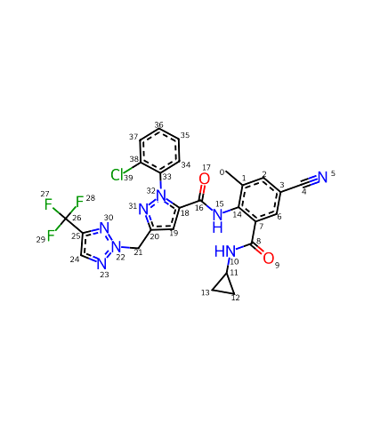 Cc1cc(C#N)cc(C(=O)NC2CC2)c1NC(=O)c1cc(Cn2ncc(C(F)(F)F)n2)nn1-c1ccccc1Cl